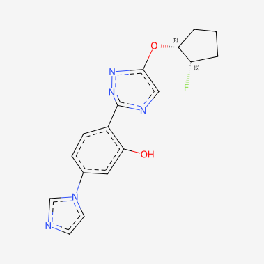 Oc1cc(-n2ccnc2)ccc1-c1ncc(O[C@@H]2CCC[C@@H]2F)nn1